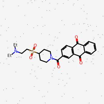 CCN(CC)CCS(=O)(=O)C1CCN(C(=O)c2ccc3c(c2)C(=O)c2ccccc2C3=O)CC1